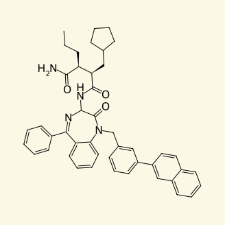 CCC[C@H](C(N)=O)[C@@H](CC1CCCC1)C(=O)NC1N=C(c2ccccc2)c2ccccc2N(Cc2cccc(-c3ccc4ccccc4c3)c2)C1=O